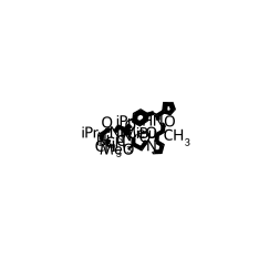 CC[C@H](C)[C@@H]([C@@H](CC(=O)N1CCCC1[C@H](OC)[C@@H](C)C(=O)N[C@@H](Cc1ccccc1)C1=CC=CC1)OC)N(C)C(=O)[C@@H](NC(=O)[C@H](C(C)C)N(C)C)C(C)C